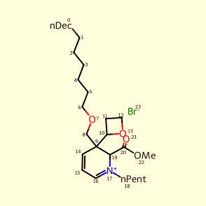 CCCCCCCCCCCCCCCCOCC1(C2CCO2)C=CC=[N+](CCCCC)C1C(=O)OC.[Br-]